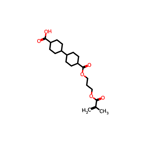 C=C(C)C(=O)OCCCOC(=O)C1CCC(C2CCC(C(=O)O)CC2)CC1